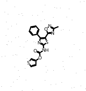 Cc1noc(-c2sc(NC(=O)Oc3ccsc3)nc2-c2ccccc2)n1